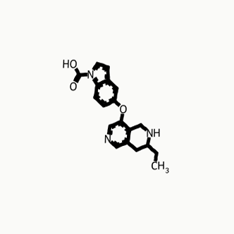 CCC1Cc2cncc(Oc3ccc4c(ccn4C(=O)O)c3)c2CN1